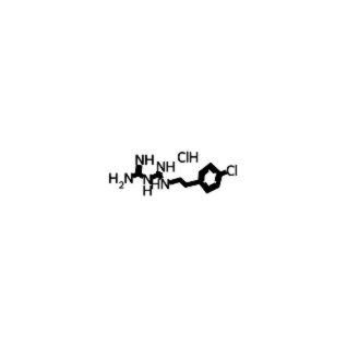 Cl.N=C(N)NC(=N)NCCc1ccc(Cl)cc1